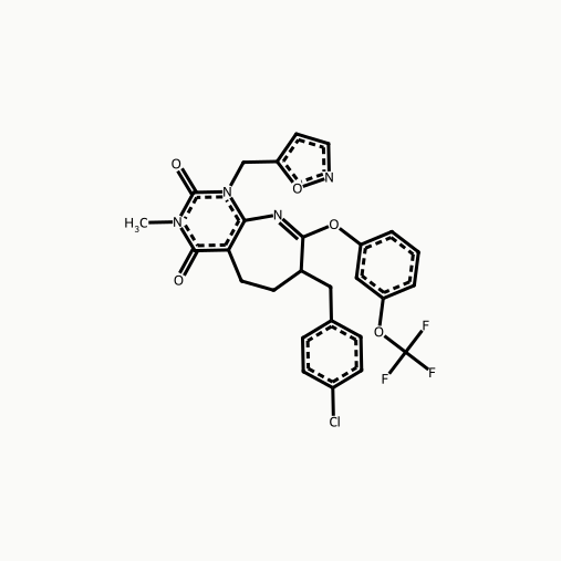 Cn1c(=O)c2c(n(Cc3ccno3)c1=O)N=C(Oc1cccc(OC(F)(F)F)c1)C(Cc1ccc(Cl)cc1)CC2